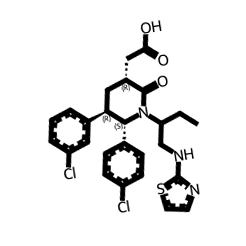 CCC(CNc1nccs1)N1C(=O)[C@@H](CC(=O)O)C[C@H](c2cccc(Cl)c2)[C@H]1c1ccc(Cl)cc1